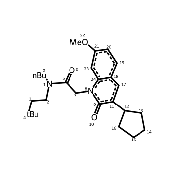 CCCCN(CCC(C)(C)C)C(=O)Cn1c(=O)c(C2CCCC2)cc2ccc(OC)cc21